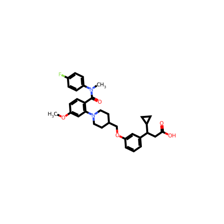 COc1ccc(C(=O)N(C)c2ccc(F)cc2)c(N2CCC(COc3cccc(C(CC(=O)O)C4CC4)c3)CC2)c1